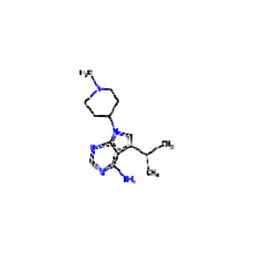 CC(C)c1cn(C2CCN(C)CC2)c2ncnc(N)c12